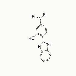 CCN(CC)c1ccc(-c2nc3ccccc3[nH]2)c(O)c1